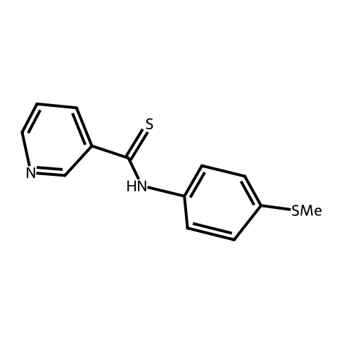 CSc1ccc(NC(=S)c2cccnc2)cc1